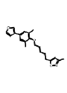 Cc1cc(CCCCCOc2c(C)cc(-c3ccoc3)cc2C)on1